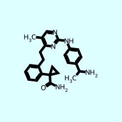 Cc1cnc(Nc2ccc(C(C)N)cc2)nc1CCc1ccccc1C1(C(N)=O)CC1